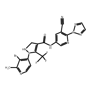 Cc1nccc(N2NCC(C(=O)Nc3cnc(-n4nccn4)c(C#N)c3)=C2C(F)(F)F)c1Br